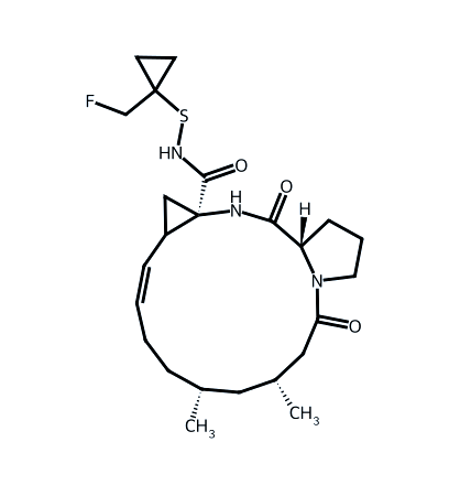 C[C@@H]1CC/C=C\C2C[C@@]2(C(=O)NSC2(CF)CC2)NC(=O)[C@@H]2CCCN2C(=O)C[C@H](C)C1